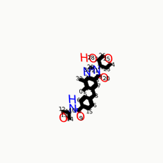 Cc1c(Cc2ccc(C(=O)NC3COC3)cc2)cc2c(=O)n([C@H]3CCOC[C@@H]3O)cnc2c1C